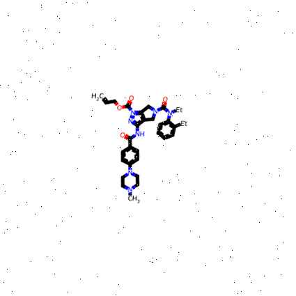 C=CCOC(=O)n1nc(NC(=O)c2ccc(N3CCN(C)CC3)cc2)c2c1CN(C(=O)N(CC)c1ccccc1CC)C2